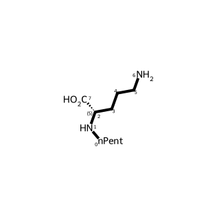 CCCCCN[C@@H](CCCN)C(=O)O